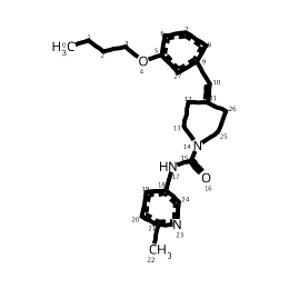 CCCCOc1cccc(C=C2CCN(C(=O)Nc3ccc(C)nc3)CC2)c1